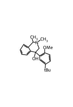 COc1ccc(C(C)(C)C)cc1C1(O)CN(C)C(C)c2ccccc21